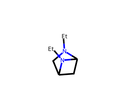 CCN1CC2CC1N2CC